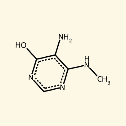 CNc1ncnc(O)c1N